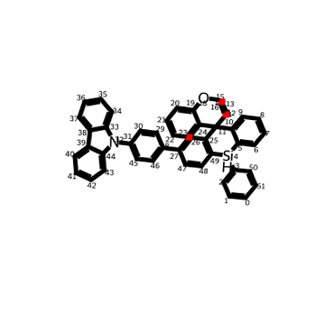 c1ccc([SiH]2c3ccccc3C3(c4ccccc4Oc4ccccc43)c3cc(-c4ccc(-n5c6ccccc6c6ccccc65)cc4)ccc32)cc1